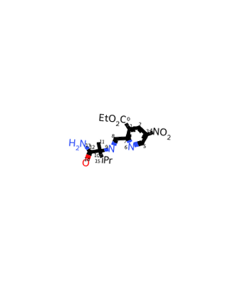 CCOC(=O)c1cc([N+](=O)[O-])cnc1C=NC(C)(C(N)=O)C(C)C